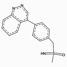 CS(=N)(=O)Cc1ccc(-c2cnnc3ccccc23)cc1